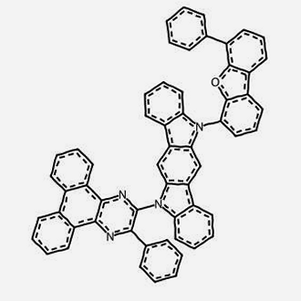 c1ccc(-c2nc3c4ccccc4c4ccccc4c3nc2-n2c3ccccc3c3cc4c(cc32)c2ccccc2n4-c2cccc3c2oc2c(-c4ccccc4)cccc23)cc1